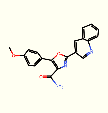 COc1ccc(-c2oc(-c3cnc4ccccc4c3)nc2C(N)=O)cc1